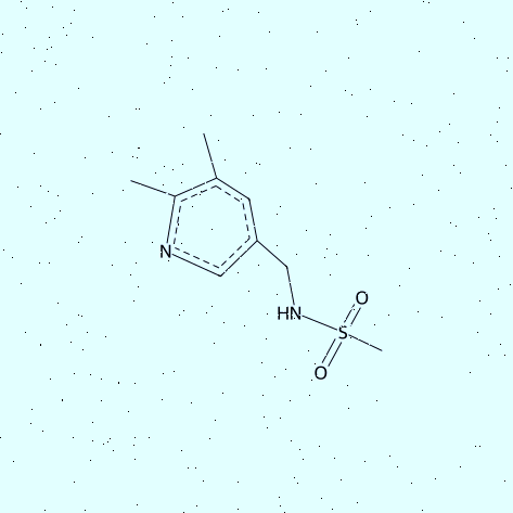 Cc1cc(CNS(C)(=O)=O)cnc1C